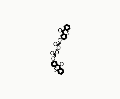 O=C(COc1ccc2sc3ccccc3c(=O)c2c1)OCOC(=O)COc1ccc2sc3ccccc3c(=O)c2c1